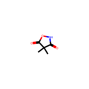 CC1(C)C(=O)NOC1=O